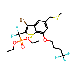 CCOP(=O)(OCC)C(F)(F)c1sc2c(OCCCC(F)(F)F)cc(CSC)cc2c1Br